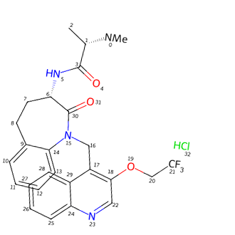 CN[C@@H](C)C(=O)N[C@H]1CCc2ccccc2N(Cc2c(OCC(F)(F)F)cnc3ccccc23)C1=O.Cl